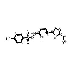 Cc1ccc(S(=O)(=O)ONC(=N)/C=C\N[C@H]2CO[C@@H](CO)S2)cc1